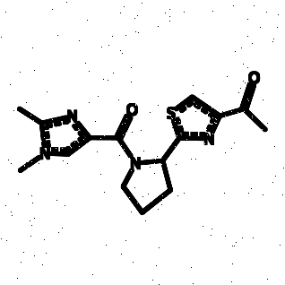 CC(=O)c1csc(C2CCCN2C(=O)c2cn(C)c(C)n2)n1